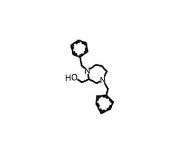 OCC1CN(Cc2ccccc2)CCCN1Cc1ccccc1